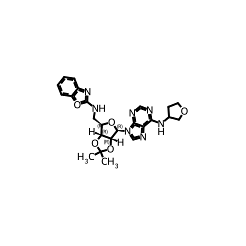 CC1(C)O[C@@H]2[C@H](O1)[C@@H](CNc1nc3ccccc3o1)O[C@H]2n1cnc2c(NC3CCOC3)ncnc21